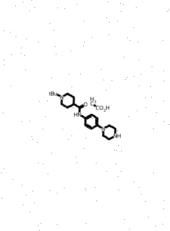 CC(=O)O.CC(C)(C)N1CCC(C(=O)Nc2ccc(N3CCNCC3)cc2)CC1